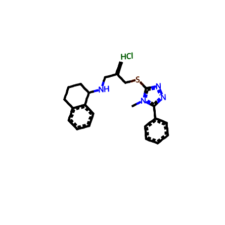 C=C(CNC1CCCc2ccccc21)CSc1nnc(-c2ccccc2)n1C.Cl